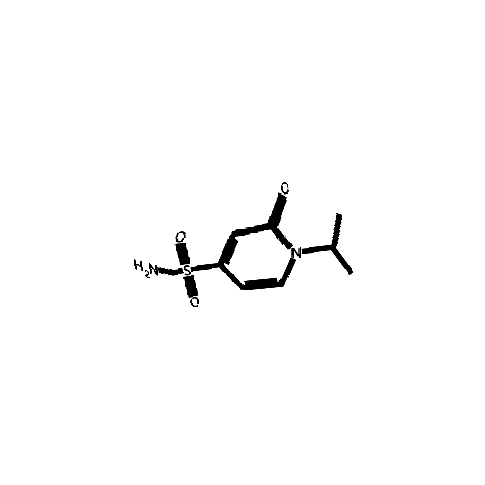 CC(C)n1ccc(S(N)(=O)=O)cc1=O